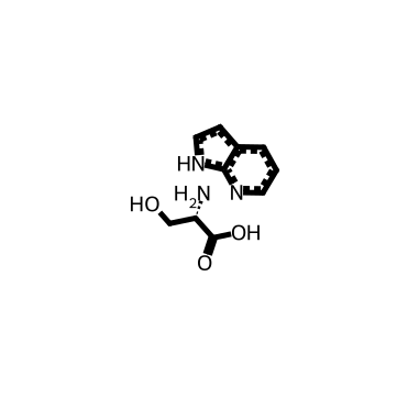 N[C@@H](CO)C(=O)O.c1cnc2[nH]ccc2c1